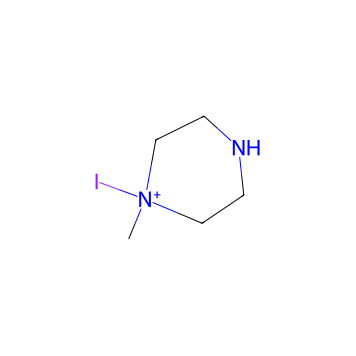 C[N+]1(I)CCNCC1